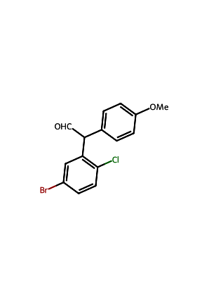 COc1ccc(C(C=O)c2cc(Br)ccc2Cl)cc1